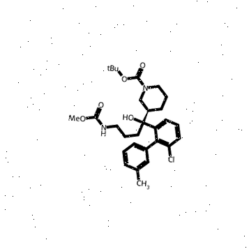 COC(=O)NCCCC(O)(c1cccc(Cl)c1-c1cccc(C)c1)[C@@H]1CCCN(C(=O)OC(C)(C)C)C1